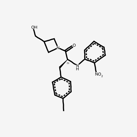 Cc1ccc(C[C@H](Nc2ccccc2[N+](=O)[O-])C(=O)N2CC(CO)C2)cc1